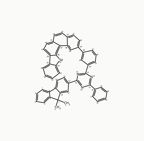 CC1(C)c2ccccc2-c2ccc(-c3nc(-c4ccccc4)nc(-c4cccc(-c5ccc6ccc7ccc8c9ccccc9[se]c8c7c6c5)c4)n3)cc21